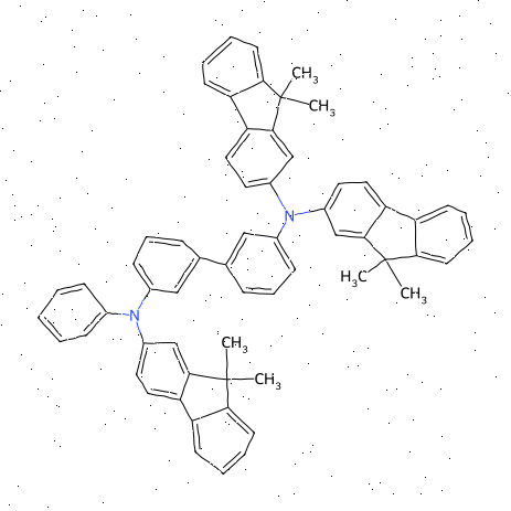 CC1(C)c2ccccc2-c2ccc(N(c3ccccc3)c3cccc(-c4cccc(N(c5ccc6c(c5)C(C)(C)c5ccccc5-6)c5ccc6c(c5)C(C)(C)c5ccccc5-6)c4)c3)cc21